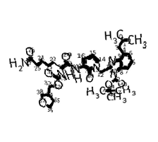 CC(C)Cc1cccc2c1nc(Cn1cccc(NC(=O)[C@H](CC/C=C/C(N)=O)NC(=O)OCC3CCOC3)c1=O)n2C(=O)OC(C)(C)C